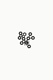 C1=CC2c3ccc(-c4ccccc4-c4nc(-c5ccccc5)nc(-c5ccc(-c6ccccc6)c(-c6ccccc6)c5)n4)cc3C3(c4ccccc4-c4ccccc43)C2C=C1